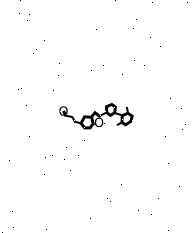 Cc1cccc(C)c1-c1cccc(-c2cc3cc(CCC=O)ccc3o2)c1